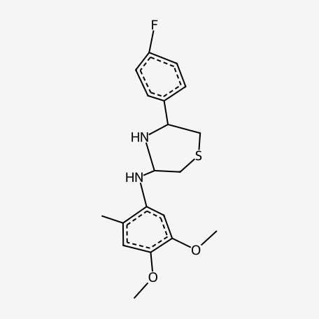 COc1cc(C)c(NC2CSCC(c3ccc(F)cc3)N2)cc1OC